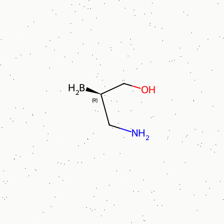 B[C@H](CN)CO